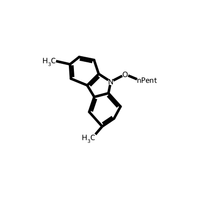 CCCCCOn1c2ccc(C)cc2c2cc(C)ccc21